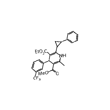 CCOC(=O)C1=C(C2CC2c2ccccc2)NC(C)=C(C(=O)OC)C1c1cccc(C(F)(F)F)c1